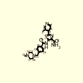 Cc1cnccc1-c1nc(C(N)=O)c(NC(=O)c2ccc(CN3CCN(C)CC3)cc2)s1